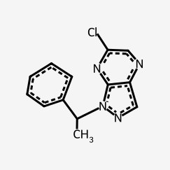 CC(c1ccccc1)n1ncc2ncc(Cl)nc21